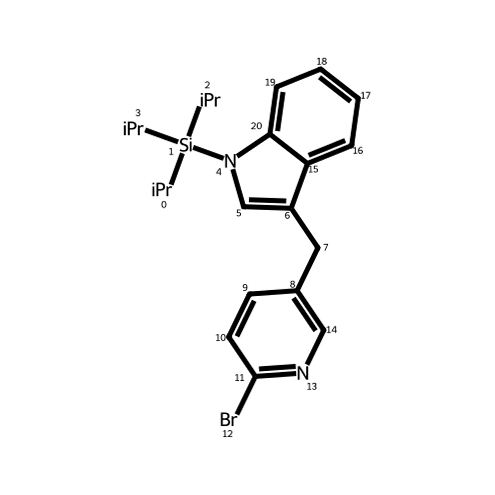 CC(C)[Si](C(C)C)(C(C)C)n1cc(Cc2ccc(Br)nc2)c2ccccc21